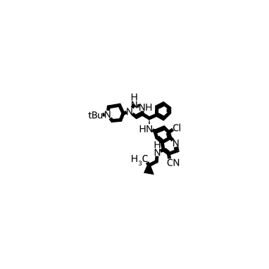 CC1(CNc2c(C#N)cnc3c(Cl)cc(N[C@H](C4=CN(C5CCN(C(C)(C)C)CC5)NN4)c4ccccc4)cc23)CC1